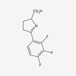 O=C(O)C1CCC(c2ccc(F)c(F)c2F)=N1